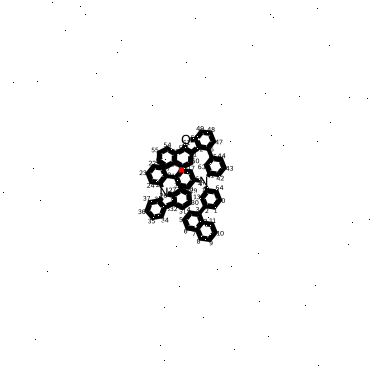 c1cc(-c2cccc3ccccc23)cc(N(c2ccc(-c3ccccc3-n3c4ccccc4c4ccccc43)cc2)c2cccc(-c3cccc4oc5c6ccccc6ccc5c34)c2)c1